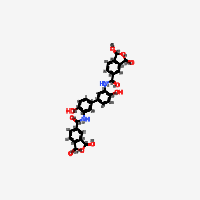 O=C(Nc1cc(-c2ccc(O)c(NC(=O)c3ccc4c(c3)C(=O)OC4=O)c2)ccc1O)c1ccc2c(c1)C(=O)OC2=O